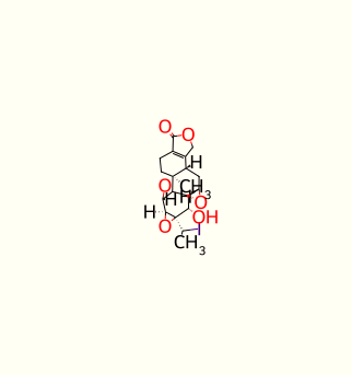 CC(I)[C@]12O[C@H]1[C@@H]1O[C@]13[C@]1(O[C@H]1C[C@H]1C4=C(CC[C@@]13C)C(=O)OC4)[C@@H]2O